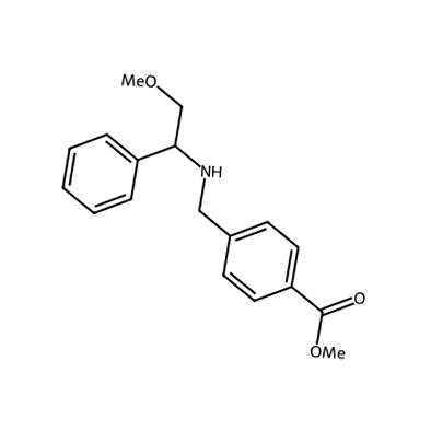 COCC(NCc1ccc(C(=O)OC)cc1)c1ccccc1